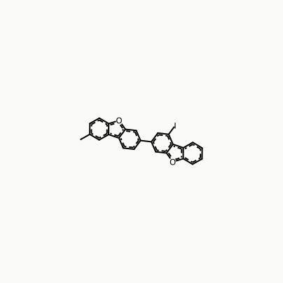 Cc1ccc2oc3cc(-c4cc(I)c5c(c4)oc4ccccc45)ccc3c2c1